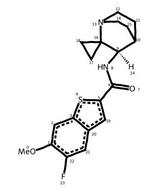 COc1cc2sc(C(=O)N[C@@H]3C4CCN(CC4)C34CC4)cc2cc1F